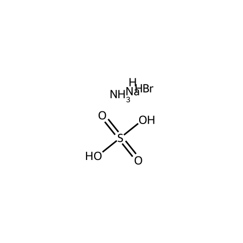 Br.N.O=S(=O)(O)O.[NaH]